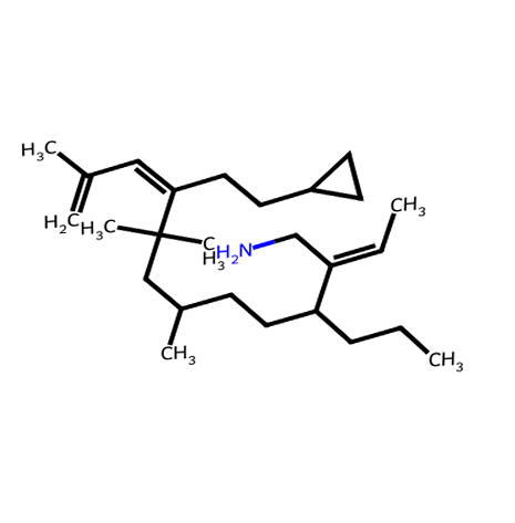 C=C(C)/C=C(/CCC1CC1)C(C)(C)CC(C)CCC(CCC)/C(=C/C)CN